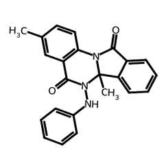 Cc1ccc2c(c1)C(=O)N(Nc1ccccc1)C1(C)c3ccccc3C(=O)N21